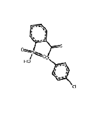 O=S(=O)(O)c1ccccc1C(=S)Oc1ccc(Cl)cc1